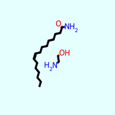 CCCCCC/C=C\CCCCCCCC(N)=O.NCCO